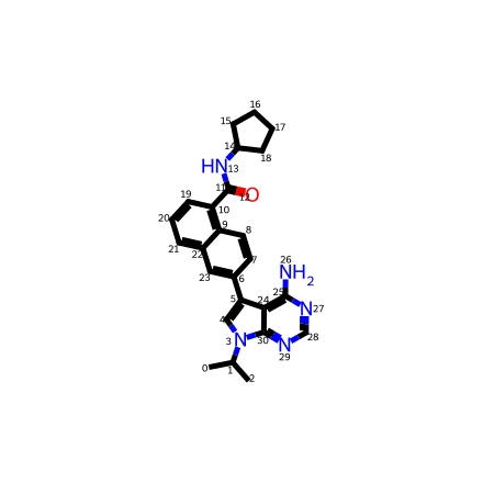 CC(C)n1cc(-c2ccc3c(C(=O)NC4CCCC4)cccc3c2)c2c(N)ncnc21